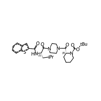 CC(C)C[C@H](NC(=O)c1cc2ccccc2s1)C(=O)N1CCN(C(=O)[C@H]2CCCCN2C(=O)OC(C)(C)C)CC1